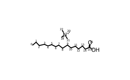 CCCCCCCCCCCCCCCC(=O)O.C[N+](C)(C)C